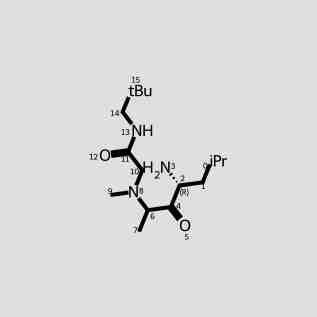 CC(C)C[C@@H](N)C(=O)C(C)N(C)CC(=O)NCC(C)(C)C